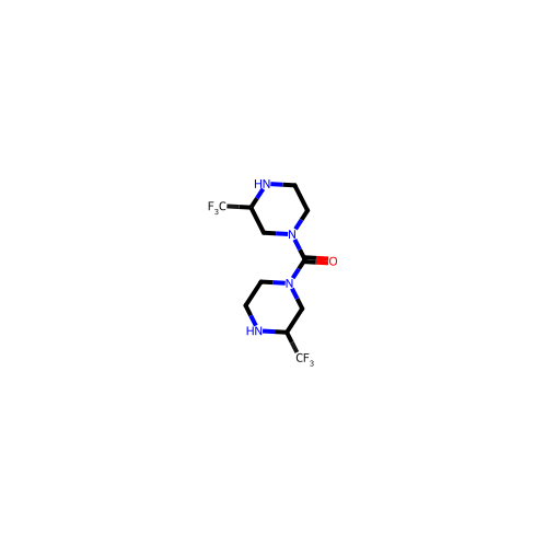 O=C(N1CCNC(C(F)(F)F)C1)N1CCNC(C(F)(F)F)C1